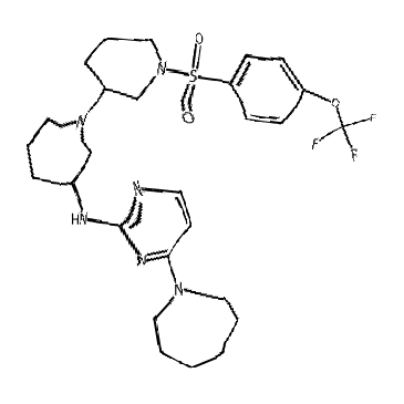 O=S(=O)(c1ccc(OC(F)(F)F)cc1)N1CCCC(N2CCCC(Nc3nccc(N4CCCCCC4)n3)C2)C1